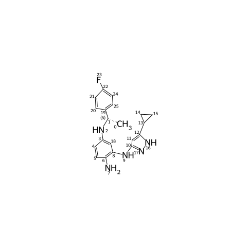 C[C@H](Nc1ccc(N)c(Nc2cc(C3CC3)[nH]n2)c1)c1ccc(F)cc1